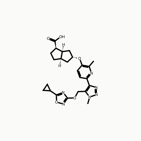 Cc1nc(-c2nnn(C)c2COc2noc(C3CC3)n2)ccc1O[C@@H]1C[C@H]2CC[C@@H](C(=O)O)[C@H]2C1